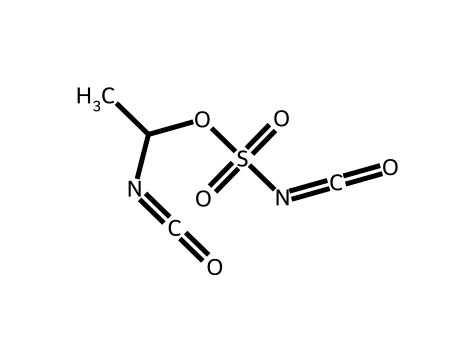 CC(N=C=O)OS(=O)(=O)N=C=O